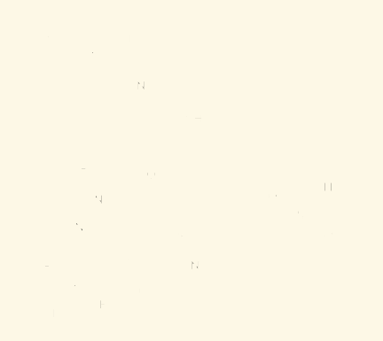 Cc1nc(C2(O)CCC2)cc(F)c1Oc1nnc(C(F)(F)F)c(C)c1C(=O)Nc1cccc(S(C)(=O)=O)c1